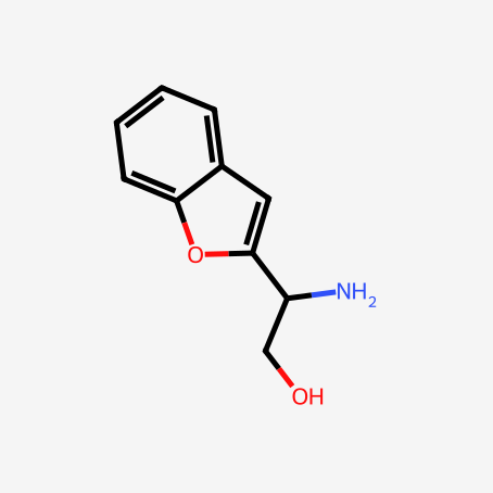 NC(CO)c1cc2ccccc2o1